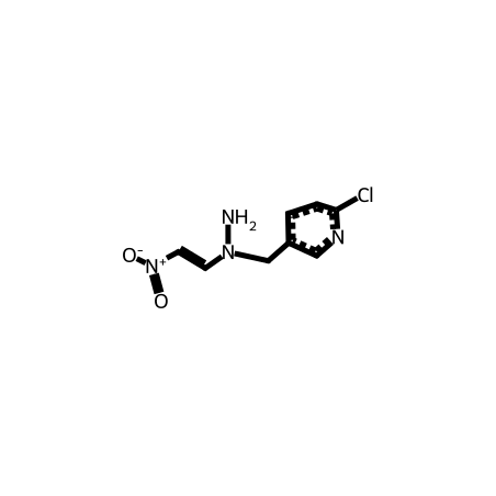 NN(C=C[N+](=O)[O-])Cc1ccc(Cl)nc1